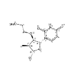 CC[C@H]1O[C@@H](n2ccc(=O)[nH]c2=O)[C@H](OCCOC)[C@@H]1C